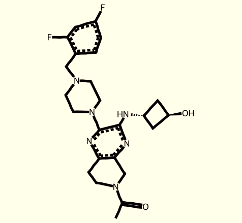 CC(=O)N1CCc2nc(N3CCN(Cc4ccc(F)cc4F)CC3)c(N[C@H]3C[C@H](O)C3)nc2C1